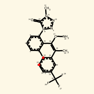 CCOc1cccc(-n2nnn(C)c2=O)c1/C(ON)=C(/C)c1cccc(C(F)(F)F)c1